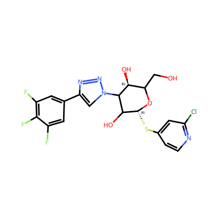 OCC1O[C@H](Sc2ccnc(Cl)c2)C(O)C(n2cc(-c3cc(F)c(F)c(F)c3)nn2)[C@H]1O